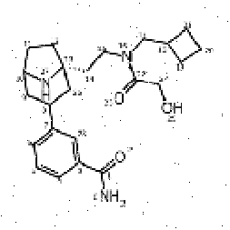 NC(=O)c1cccc(C2CC3CC[C@@](CCN(CC4CCC4)C(=O)CO)(C2)N3)c1